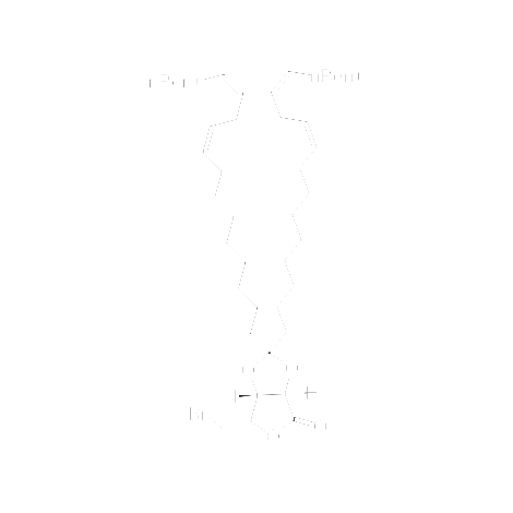 CCCCC/C=C\C/C=C\CCCCCCCCC1(CCCCCCCC/C=C\C/C=C\CCCCC)O[C@H]2[C@@H](CBr)OC(=O)[C@@H]2O1